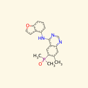 Cc1cc2ncnc(Nc3cccc4occc34)c2cc1P(C)(C)=O